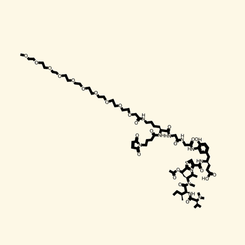 CC[C@H](C)[C@H](NC(=O)[C@H](C(C)C)N(C)C)C(=O)N(C)[C@H](C[C@@H](OC(C)=O)c1nc(C(=O)N[C@H](CCC(=O)O)Cc2ccc(O)c(NC(=O)CNC(=O)CNC(=O)[C@H](CCCCNC(=O)COCCOCCOCCOCCOCCOCCOCCOCCOCCOC)NC(=O)CCCN3C(=O)C=CC3=O)c2)cs1)C(C)C